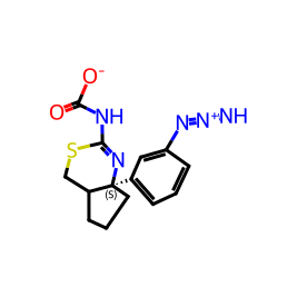 N=[N+]=Nc1cccc([C@]23CCCC2CSC(NC(=O)[O-])=N3)c1